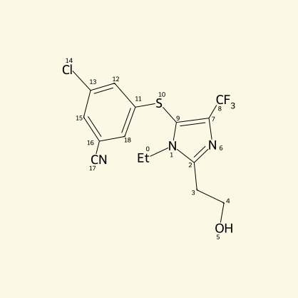 CCn1c(CCO)nc(C(F)(F)F)c1Sc1cc(Cl)cc(C#N)c1